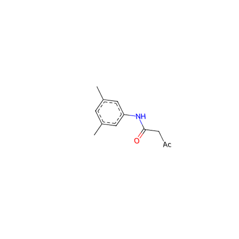 CC(=O)CC(=O)Nc1cc(C)cc(C)c1